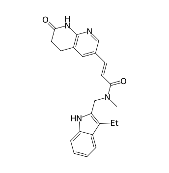 CCc1c(CN(C)C(=O)C=Cc2cnc3c(c2)CCC(=O)N3)[nH]c2ccccc12